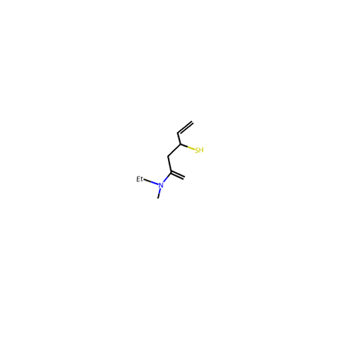 C=CC(S)CC(=C)N(C)CC